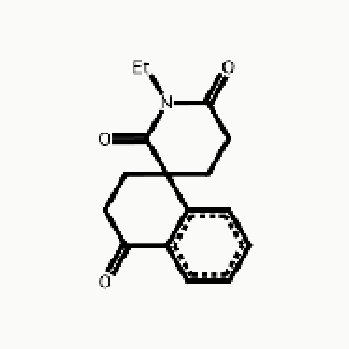 CCN1C(=O)CCC2(CCC(=O)c3ccccc32)C1=O